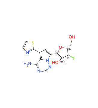 C[C@@]1(O)[C@H](F)[C@@H](CO)O[C@H]1c1cc(-c2nccs2)c2c(N)ncnn12